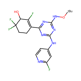 CC(C)(C)ONc1nc(Nc2ccnc(F)c2)nc(C2=C(F)C(O)C(F)(F)CC2)n1